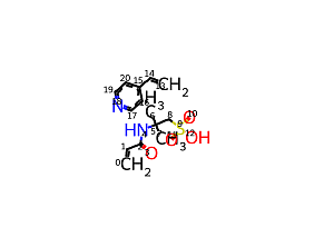 C=CC(=O)NC(C)(C)CS(=O)(=O)O.C=Cc1ccncc1